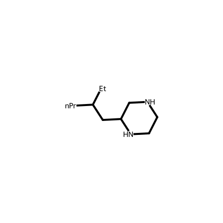 CCCC(CC)CC1CNCCN1